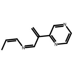 C=C(/C=N\C=C/C)c1cnccn1